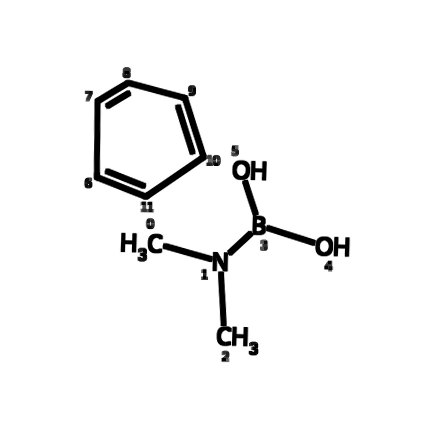 CN(C)B(O)O.c1ccccc1